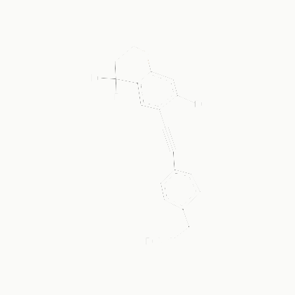 CCOC(=O)Cc1ccc(C#Cc2cc3c(cc2CC)SCCC3(CC)CC)cc1